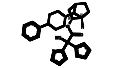 O=C(O[C@@H]1CC2CC[C@H]1C2N1CCC(c2ccccc2)CC1)C(O)(c1cccs1)c1cccs1